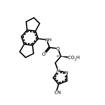 N#Cc1cnn(C[C@@H](OC(=O)Nc2c3c(cc4c2CCC4)CCC3)C(=O)O)c1